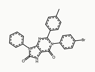 Cc1ccc(-c2nc3c([nH]c(=O)n3-c3ccccc3)c(=O)n2-c2ccc(Br)cc2)cc1